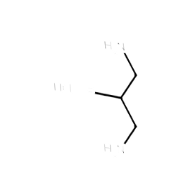 Cl.NCC(F)CN